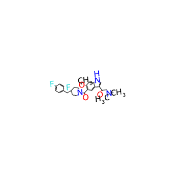 COc1cc2[nH]cc(C(=O)CN(C)C)c2cc1C(=O)N1CCC(F)(Cc2ccc(F)cc2)CC1